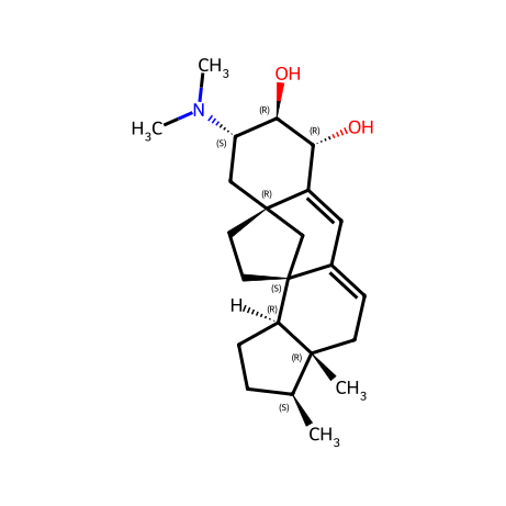 C[C@H]1CC[C@H]2[C@@]34CC[C@]5(C[C@H](N(C)C)[C@@H](O)[C@H](O)C5=CC3=CC[C@]12C)C4